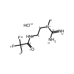 CN(CCNC(=O)C(F)(F)F)C(=N)N.Cl